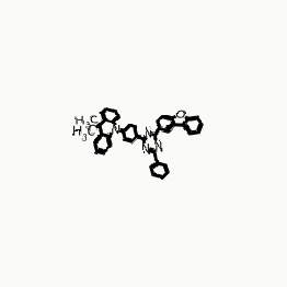 CC1(C)c2ccccc2N(c2ccc(-c3nc(-c4ccccc4)nc(-c4ccc5oc6ccccc6c5c4)n3)cc2)c2ccccc21